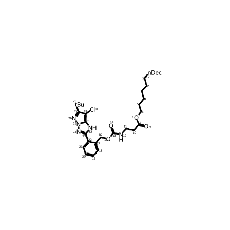 CCCCCCCCCCCCCCCCOC(=O)CCNC(=O)OCc1ccccc1-c1nn2nc(C(C)(C)C)c(Cl)c2[nH]1